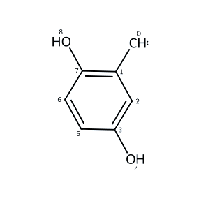 [CH]c1cc(O)ccc1O